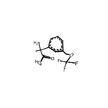 CC(N)(C(=O)O)c1cccc(OC(F)(F)F)c1